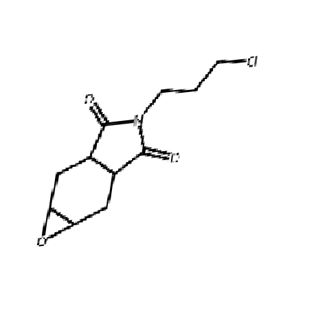 O=C1C2CC3OC3CC2C(=O)N1CCCCl